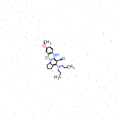 CCCN(CCC)c1c(C#N)c(Nc2ccc(OC)cc2Cl)nc2c1CCC2